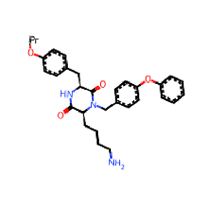 CC(C)Oc1ccc(C[C@@H]2NC(=O)[C@H](CCCCN)N(Cc3ccc(Oc4ccccc4)cc3)C2=O)cc1